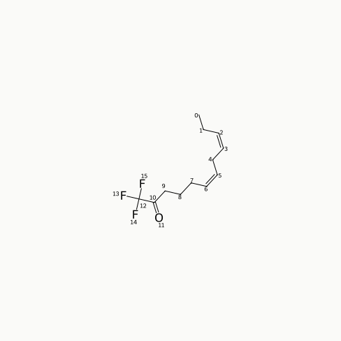 CC/C=C\C/C=C\CCCC(=O)C(F)(F)F